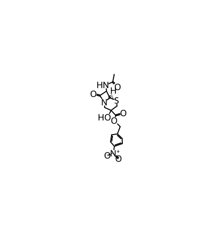 CC(=O)NC1C(=O)N2CC(O)(C(=O)OCc3ccc([N+](=O)[O-])cc3)CS[C@H]12